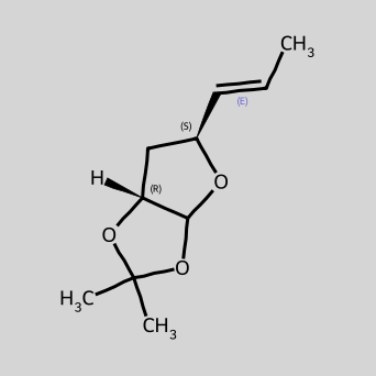 C/C=C/[C@@H]1C[C@H]2OC(C)(C)OC2O1